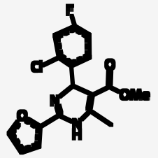 COC(=O)C1=C(C)NC(c2ccco2)=NC1c1ccc(F)cc1Cl